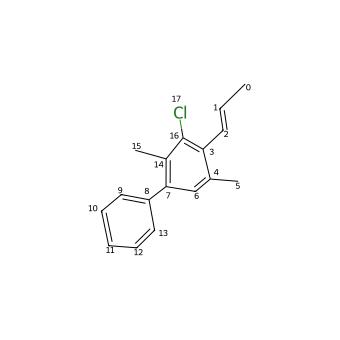 CC=Cc1c(C)cc(-c2ccccc2)c(C)c1Cl